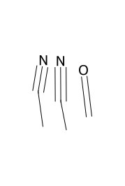 C=O.CC#N.CC#N